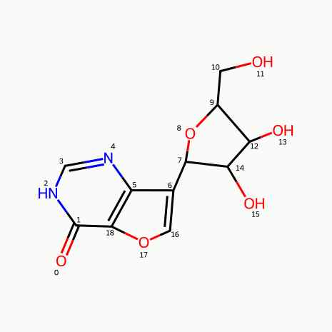 O=c1[nH]cnc2c(C3OC(CO)C(O)C3O)coc12